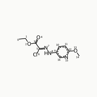 CCOC(=O)/C(Cl)=N/Nc1ccc(OC)nc1